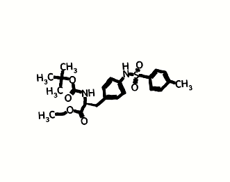 CCOC(=O)[C@H](Cc1ccc(NS(=O)(=O)c2ccc(C)cc2)cc1)NC(=O)OC(C)(C)C